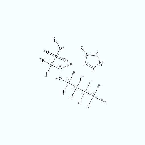 C[n+]1cc[nH]c1.O=S(=O)(OF)C(F)(F)C(F)OC(F)(F)C(F)(F)C(F)(F)C(F)(F)I